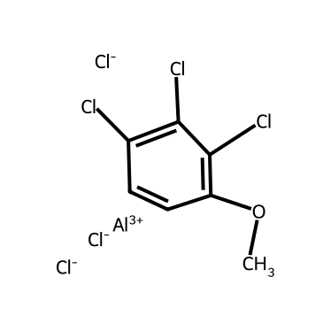 COc1ccc(Cl)c(Cl)c1Cl.[Al+3].[Cl-].[Cl-].[Cl-]